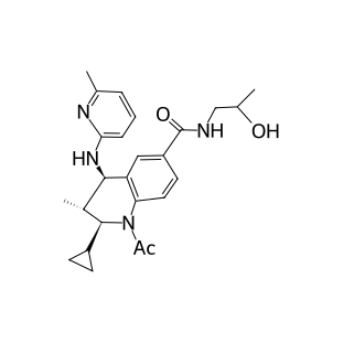 CC(=O)N1c2ccc(C(=O)NCC(C)O)cc2[C@H](Nc2cccc(C)n2)[C@@H](C)[C@@H]1C1CC1